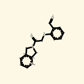 O=Cc1ccccc1OCC(=O)N1Cc2cccnc2C1